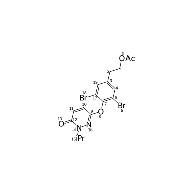 CC(=O)OCCc1cc(Br)c(Oc2ccc(=O)n(C(C)C)n2)c(Br)c1